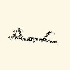 CC(N)OCCOCC(COCCOC(C)N)OCCOCc1ccc(CNCCOCCOC(COCCOCCN)COCCOCCN)cc1